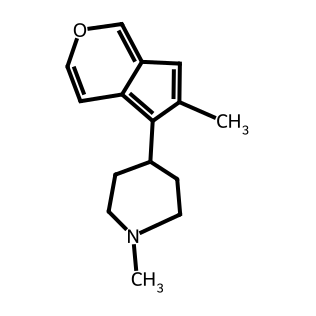 Cc1cc2coccc-2c1C1CCN(C)CC1